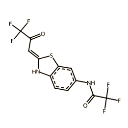 O=C(C=C1Nc2ccc(NC(=O)C(F)(F)F)cc2S1)C(F)(F)F